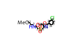 COCCCNC(=O)CS(=O)(=O)Cc1nc(-c2cccc(Cl)c2)oc1C